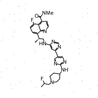 CNC(=O)c1ccnc2c([C@H](C)CNc3cc(-c4cnc(NC5CCN(CC(C)F)CC5)nc4)ncn3)ccc(F)c12